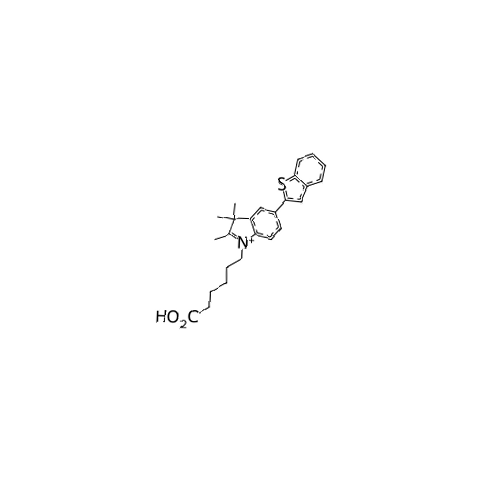 CC1=[N+](CCCCCC(=O)O)c2ccc(-c3cc4ccccc4s3)cc2C1(C)C